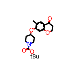 Cc1cc2c(cc1OC1CCN(C(=O)OC(C)(C)C)CC1)OCCC2=O